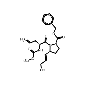 C=CC[C@H](NC(=O)OC(C)(C)C)C(=O)N1[C@H](/C=C/CO)CCN1C(=O)OCc1ccccc1